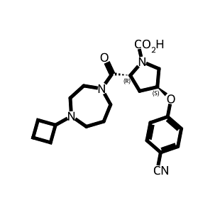 N#Cc1ccc(O[C@H]2C[C@H](C(=O)N3CCCN(C4CCC4)CC3)N(C(=O)O)C2)cc1